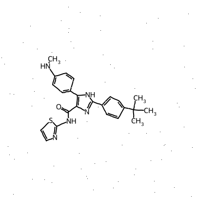 CNc1ccc(-c2[nH]c(-c3ccc(C(C)(C)C)cc3)nc2C(=O)Nc2nccs2)cc1